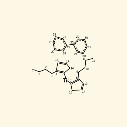 CCCCC1=[C]([Ti][C]2=C(CCCC)C=CC2)CC=C1.c1ccc(-c2ccccc2)cc1